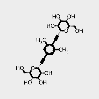 Cc1cc(C#C[C@H]2O[C@H](CO)[C@@H](O)[C@H](O)[C@@H]2O)cc(C)c1C#C[C@H]1O[C@H](CO)[C@@H](O)[C@H](O)[C@@H]1O